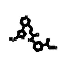 COC(=O)c1cccc(NC(=O)/C=C/c2cnccc2-c2cnn(C)c2)c1